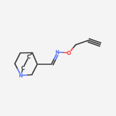 C#CCON=CC1CN2CCC1CC2